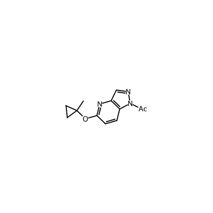 CC(=O)n1ncc2nc(OC3(C)CC3)ccc21